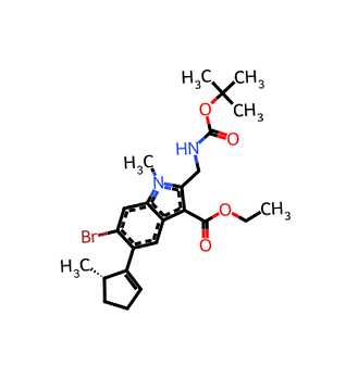 CCOC(=O)c1c(CNC(=O)OC(C)(C)C)n(C)c2cc(Br)c(C3=CCC[C@@H]3C)cc12